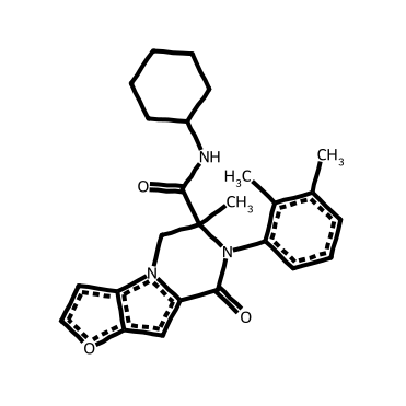 Cc1cccc(N2C(=O)c3cc4occc4n3CC2(C)C(=O)NC2CCCCC2)c1C